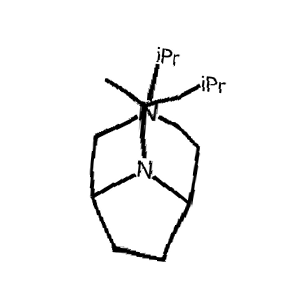 CC(C)C(C)N1C2CCC1CN(C(C)C)C2